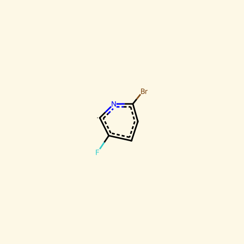 Fc1[c]nc(Br)cc1